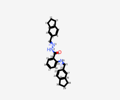 O=C(N/N=C/c1ccc2c(c1)CCC2)c1ccccc1/N=C\c1ccc2c(c1)CCC2